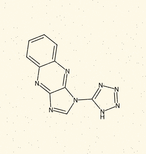 c1ccc2nc3c(ncn3-c3nnn[nH]3)nc2c1